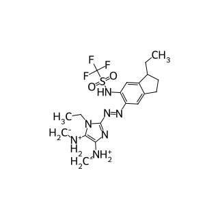 [CH2-][NH2+]c1nc(N=Nc2cc3c(cc2NS(=O)(=O)C(F)(F)F)C(CC)CC3)n(CC)c1[NH2+][CH2-]